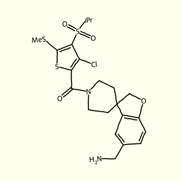 CSc1sc(C(=O)N2CCC3(CC2)COc2ccc(CN)cc23)c(Cl)c1S(=O)(=O)C(C)C